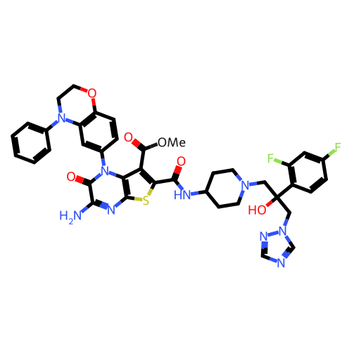 COC(=O)c1c(C(=O)NC2CCN(CC(O)(Cn3cncn3)c3ccc(F)cc3F)CC2)sc2nc(N)c(=O)n(-c3ccc4c(c3)N(c3ccccc3)CCO4)c12